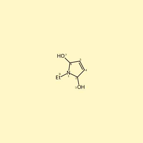 CCN1C(O)C=CC1O